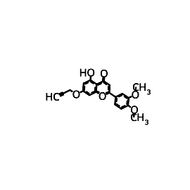 C#CCOc1cc(O)c2c(=O)cc(-c3ccc(OC)c(OC)c3)oc2c1